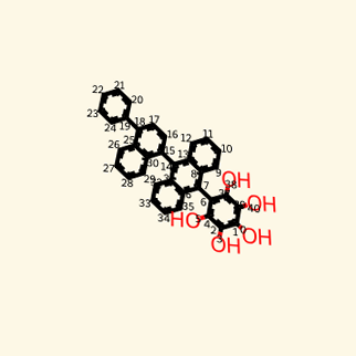 Oc1c(O)c(O)c(-c2c3ccccc3c(-c3ccc(-c4ccccc4)c4ccccc34)c3ccccc23)c(O)c1O